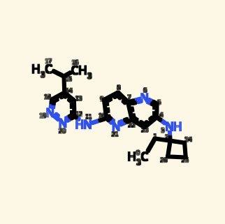 CCC1(Nc2cnc3ccc(Nc4cc(C(C)C)cnn4)nc3c2)CCC1